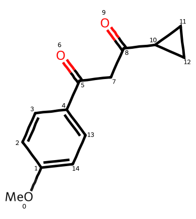 COc1ccc(C(=O)CC(=O)C2CC2)cc1